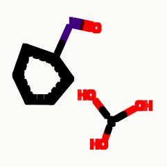 O=Ic1ccccc1.OB(O)O